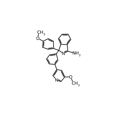 COc1ccc(C2(c3cccc(-c4cncc(OC)c4)c3)N=C(N)c3ccccc32)cc1